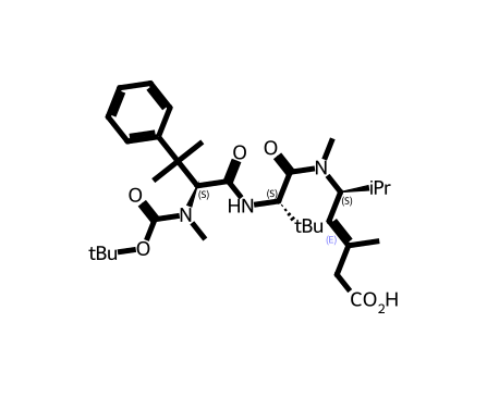 C/C(=C\[C@H](C(C)C)N(C)C(=O)[C@@H](NC(=O)[C@@H](N(C)C(=O)OC(C)(C)C)C(C)(C)c1ccccc1)C(C)(C)C)CC(=O)O